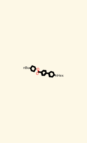 CCCCCCC1CC=C(c2ccc(C(=O)O[C@H]3CC[C@H](CCCC)CC3)cc2)CC1